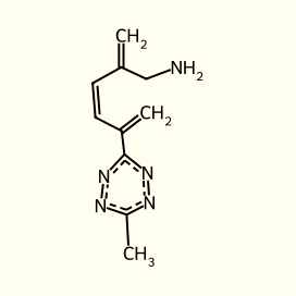 C=C(/C=C\C(=C)c1nnc(C)nn1)CN